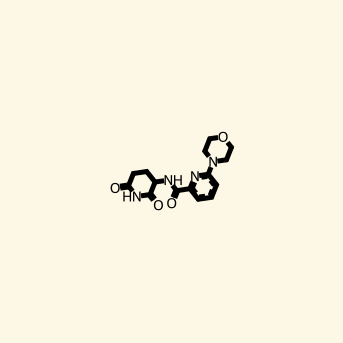 O=C1CCC(NC(=O)c2cccc(N3CCOCC3)n2)C(=O)N1